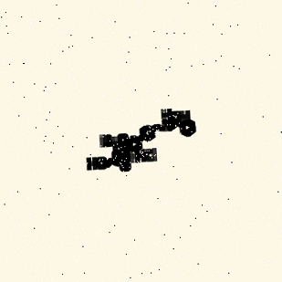 CC(C)COc1cc(-c2ccc(CCNC[C@@H](O)c3ccccc3)cc2)ccc1C(=O)NS(=O)(=O)CCCO.Cl